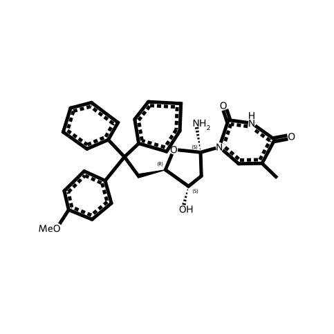 COc1ccc(C(C[C@H]2O[C@@](N)(n3cc(C)c(=O)[nH]c3=O)C[C@@H]2O)(c2ccccc2)c2ccccc2)cc1